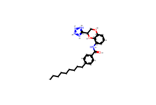 CCCCCCCCCc1ccc(C(=O)Nc2cccc3c2OC(c2nnn[nH]2)CO3)cc1